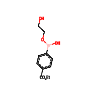 CCOC(=O)c1ccc(B(O)OCCO)cc1